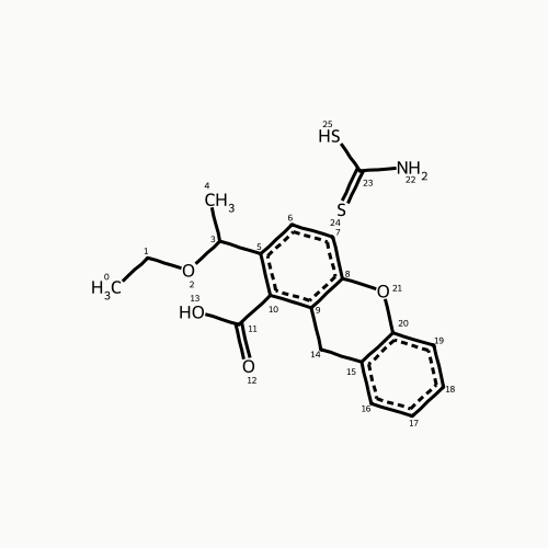 CCOC(C)c1ccc2c(c1C(=O)O)Cc1ccccc1O2.NC(=S)S